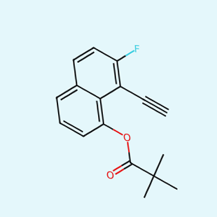 C#Cc1c(F)ccc2cccc(OC(=O)C(C)(C)C)c12